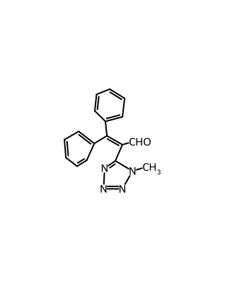 Cn1nnnc1C(C=O)=C(c1ccccc1)c1ccccc1